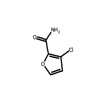 NC(=O)c1occc1Cl